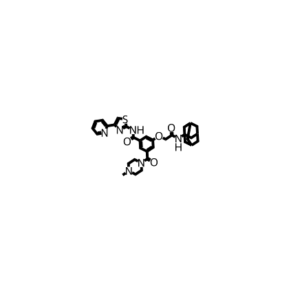 CN1CCN(C(=O)c2cc(OCC(=O)NC34CC5CC(CC(C5)C3)C4)cc(C(=O)Nc3nc(-c4ccccn4)cs3)c2)CC1